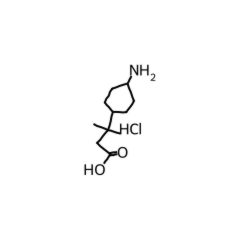 CC(C)(CC(=O)O)C1CCC(N)CC1.Cl